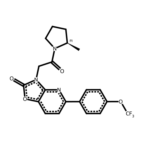 C[C@@H]1CCCN1C(=O)Cn1c(=O)oc2ccc(-c3ccc(OC(F)(F)F)cc3)nc21